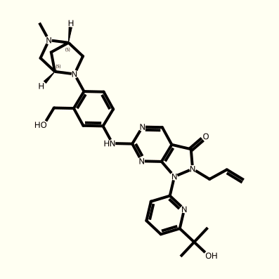 C=CCn1c(=O)c2cnc(Nc3ccc(N4C[C@@H]5C[C@H]4CN5C)c(CO)c3)nc2n1-c1cccc(C(C)(C)O)n1